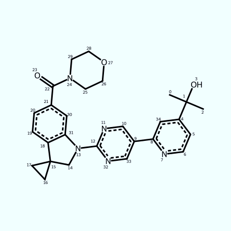 CC(C)(O)c1ccnc(-c2cnc(N3CC4(CC4)c4ccc(C(=O)N5CCOCC5)cc43)nc2)c1